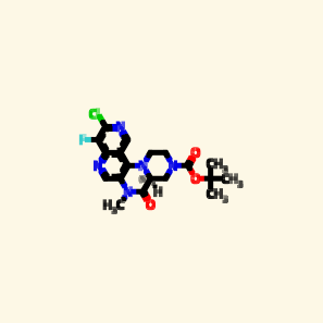 CN1C(=O)[C@@H]2CN(C(=O)OC(C)(C)C)CCN2c2c1cnc1c(F)c(Cl)ncc21